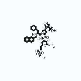 CC(C)(O)c1cnnn1[C@H]1C[C@@H](C(=O)NC(CCCCNS(=O)(=O)C(F)(F)F)C(=O)C(N)=O)N(C(=O)C(CC2CCCCC2)NC(=O)c2ccc3ccccc3c2)C1